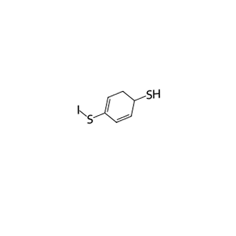 SC1C=CC(SI)=CC1